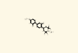 CCCc1ccc(-c2ccc(C3CC(C)(C)N(O)C(C)(C)C3)c(F)c2)c(F)c1